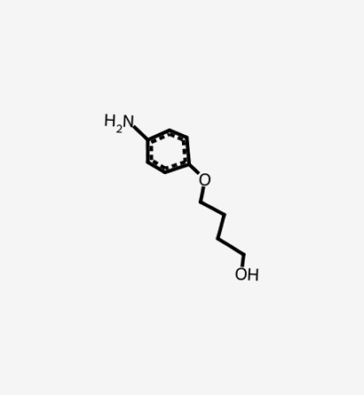 Nc1ccc(OCCCCO)cc1